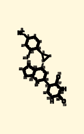 N#Cc1ccc([C@H]2C[C@@H]2c2cc(-c3c[nH]c(=O)[nH]c3=O)nn3ccnc23)c(F)c1